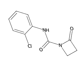 O=C1CCN1C(=O)Nc1ccccc1Cl